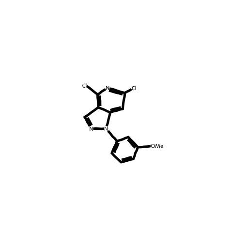 COc1cccc(-n2ncc3c(Cl)nc(Cl)cc32)c1